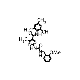 COc1ccccc1CNC(=O)Nc1nc(C)c(C(=O)Nc2c(C)cc(C)cc2C)s1